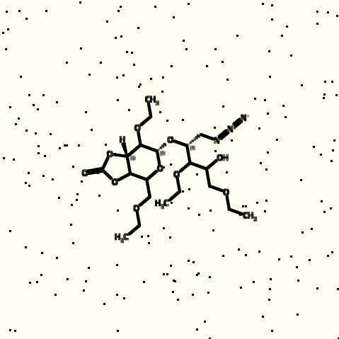 CCOCC(O)C(OCC)[C@@H](CN=[N+]=[N-])O[C@@H]1OC(COCC)C2OC(=O)O[C@@H]2C1OCC